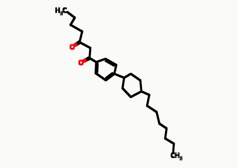 CCCCCCCCC1CCC(c2ccc(C(=O)CC(=O)CCCC)cc2)CC1